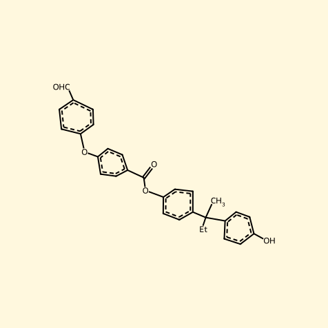 CCC(C)(c1ccc(O)cc1)c1ccc(OC(=O)c2ccc(Oc3ccc(C=O)cc3)cc2)cc1